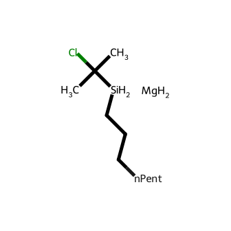 CCCCCCCC[SiH2]C(C)(C)Cl.[MgH2]